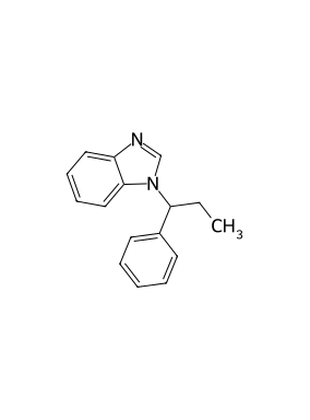 CCC(c1ccccc1)n1cnc2ccccc21